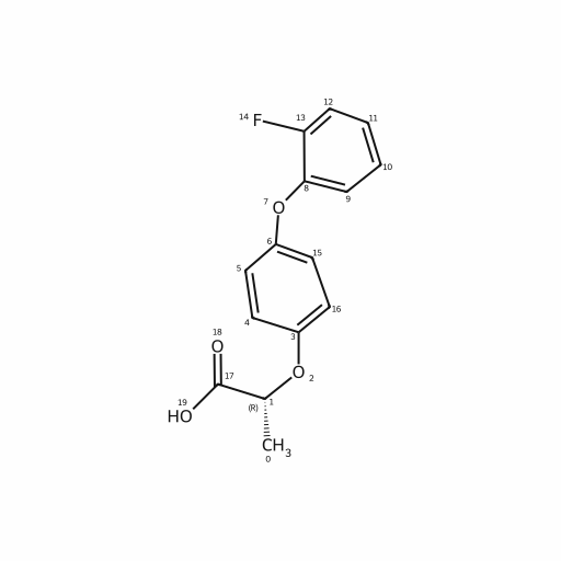 C[C@@H](Oc1ccc(Oc2ccccc2F)cc1)C(=O)O